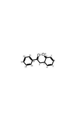 O=C(CC1C=CC=[C]C1=O)c1ccccc1